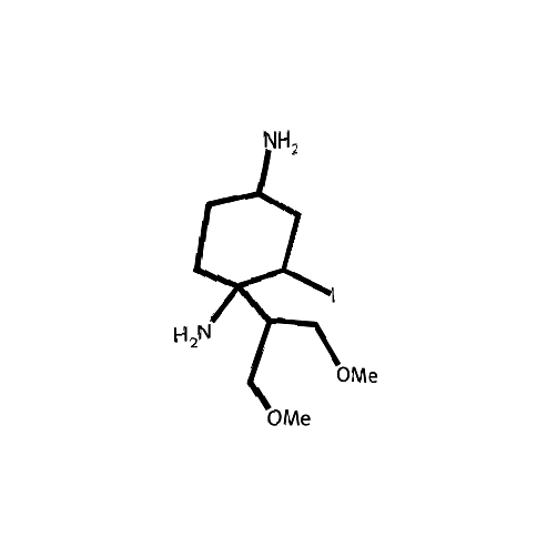 COCC(COC)C1(N)CCC(N)CC1I